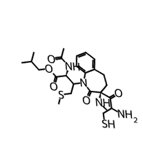 CN[C@]1(C(=O)C(N)CS)CCc2ccccc2N(C(CSC)[C@H](NC(C)=O)C(=O)OCC(C)C)C1=O